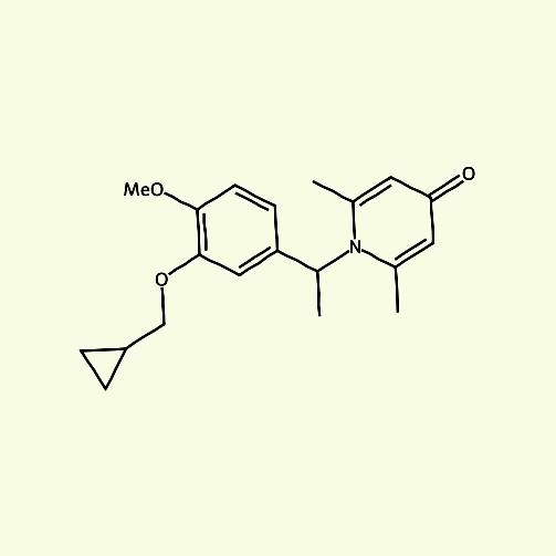 COc1ccc(C(C)n2c(C)cc(=O)cc2C)cc1OCC1CC1